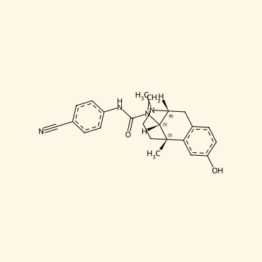 CN1CC[C@@]2(C)c3cc(O)ccc3C[C@@H]1[C@H]2N(C)C(=O)Nc1ccc(C#N)cc1